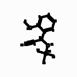 COc1ccccc1C(C#N)O[Si](C)(C)C